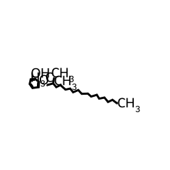 CCCCCCCCCCCCCCCCC(COc1ccccc1O)C(C)(C)C